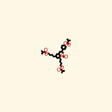 C=C(C)C(=O)OCCCCc1cc(/C=C(\C)c2ccc(OC(=O)C(=C)C)cc2)c(OC=O)c(CCCCOC(=O)C(=C)C)c1